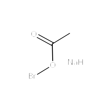 CC(=O)OBr.[NaH]